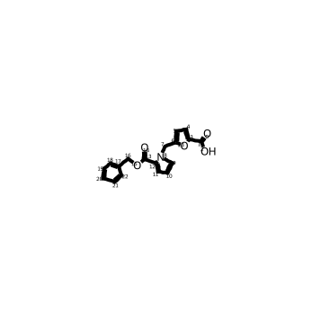 O=C(O)c1ccc(Cn2cccc2C(=O)OCc2ccccc2)o1